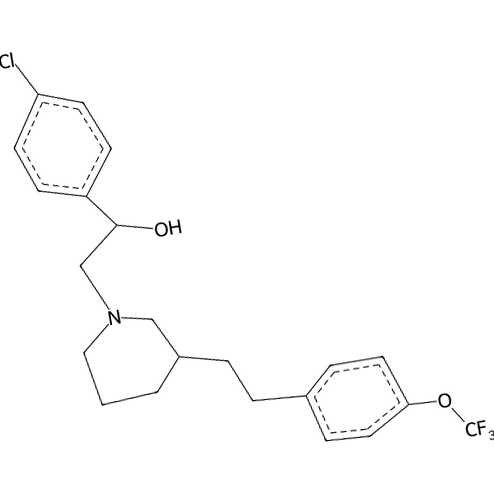 OC(CN1CCCC(CCc2ccc(OC(F)(F)F)cc2)C1)c1ccc(Cl)cc1